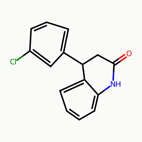 O=C1CC(c2cccc(Cl)c2)c2ccccc2N1